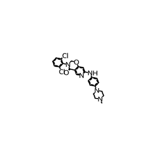 CN1CCN(c2ccc(Nc3cc4c(cn3)C(=O)N(c3c(Cl)cccc3Cl)CO4)cc2)CC1